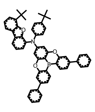 CC(C)(C)c1ccc(N(c2cc3c4c(c2)Oc2cc(-c5ccccc5)ccc2B4c2ccc(-c4ccccc4)cc2O3)c2cccc3c2oc2c(C(C)(C)C)cccc23)cc1